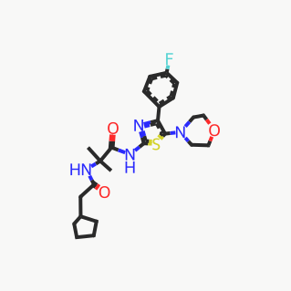 CC(C)(NC(=O)CC1CCCC1)C(=O)Nc1nc(-c2ccc(F)cc2)c(N2CCOCC2)s1